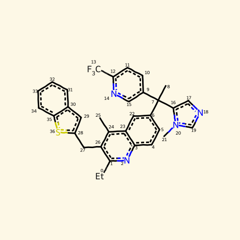 CCc1nc2ccc(C(C)(c3ccc(C(F)(F)F)nc3)c3cncn3C)cc2c(C)c1Cc1cc2ccccc2s1